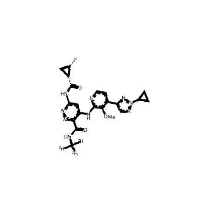 [2H]C([2H])([2H])NC(=O)c1nnc(NC(=O)[C@@H]2C[C@@H]2F)cc1Nc1nccc(-c2cnn(C3CC3)n2)c1OC